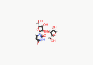 O=c1ccn([C@@H]2O[C@H](CO)[C@@H](O)[C@H]2O)c(=O)[nH]1.OC[C@H]1OC[C@H](O)[C@@H]1O